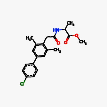 COC(=O)C(C)NC(=O)Cc1c(C)cc(-c2ccc(Cl)cc2)cc1C